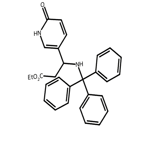 CCOC(=O)CC(NC(c1ccccc1)(c1ccccc1)c1ccccc1)c1ccc(=O)[nH]c1